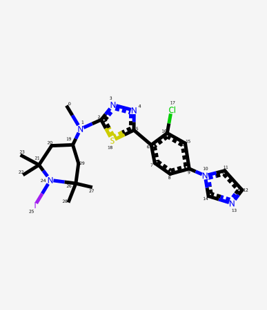 CN(c1nnc(-c2ccc(-n3ccnc3)cc2Cl)s1)C1CC(C)(C)N(I)C(C)(C)C1